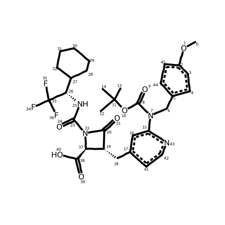 COc1ccc(CN(C(=O)OC(C)(C)C)c2cc(C[C@H]3C(=O)N(C(=O)N[C@@H](C4CCCCC4)C(F)(F)F)[C@@H]3C(=O)O)ccn2)cc1